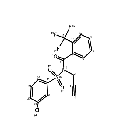 C#CCN(C(=O)c1ccccc1C(F)(F)F)S(=O)(=O)c1cccc(Cl)c1